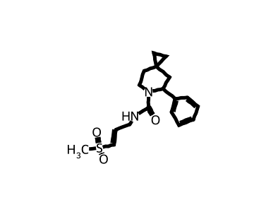 CS(=O)(=O)C=CCNC(=O)N1CCC2(CC2)CC1c1ccccc1